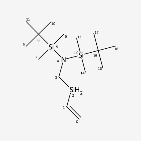 C=C[SiH2]CN([Si](C)(C)C(C)(C)C)[Si](C)(C)C(C)(C)C